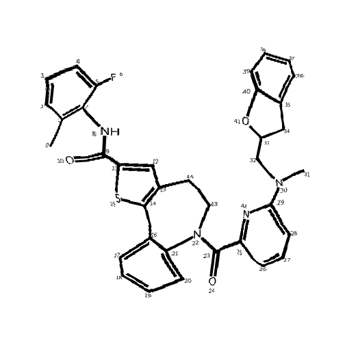 Cc1cccc(F)c1NC(=O)c1cc2c(s1)-c1ccccc1N(C(=O)c1cccc(N(C)CC3Cc4ccccc4O3)n1)CC2